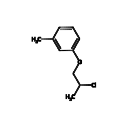 Cc1cccc(OCC(C)Cl)c1